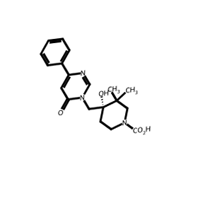 CC1(C)CN(C(=O)O)CC[C@@]1(O)Cn1cnc(-c2ccccc2)cc1=O